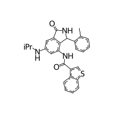 Cc1ccccc1C1NC(=O)c2cc(NC(C)C)cc(NC(=O)c3csc4ccccc34)c21